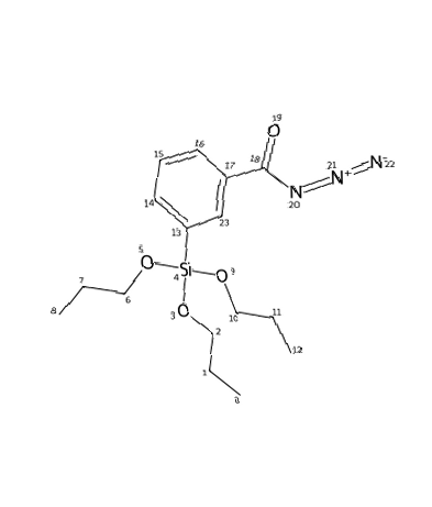 CCCO[Si](OCCC)(OCCC)c1cccc(C(=O)N=[N+]=[N-])c1